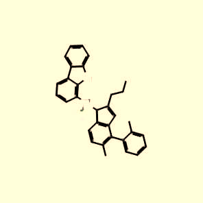 CCCC1=Cc2c(ccc(C)c2-c2ccccc2C)[CH]1[Zr]([Cl])([Cl])[c]1cccc2c1[SiH2]c1ccccc1-2